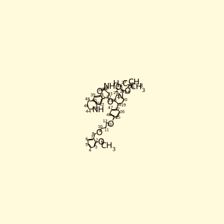 COc1ccccc1COCCCOc1ccc(C2CCN(C(=O)OC(C)(C)C)CC2OC(CC(N)=O)c2ccc3c(c2)NCCC3)cc1